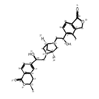 Cc1c([C@@H](O)CN2C[C@@H]3C[C@H]2CN3CC(O)c2ccc3c(c2)C[C@@H](C)OC3=O)ccc2c1COC2=O